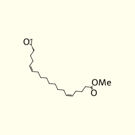 COC(=O)CCC/C=C\CCCCCCC/C=C\CCC[C@@H]1CO1